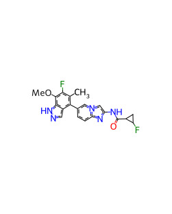 COc1c(F)c(C)c(-c2ccc3nc(NC(=O)C4CC4F)cn3c2)c2cn[nH]c12